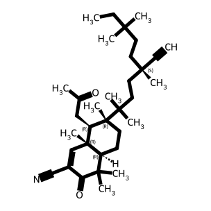 C#C[C@@](C)(CCC(C)(C)CC)CCC(C)(C)[C@]1(C)CC[C@H]2C(C)(C)C(=O)C(C#N)=C[C@]2(C)[C@H]1CC(C)=O